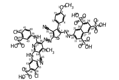 COc1ccc(-c2c(N=Nc3cc(S(=O)(=O)O)c4cc(S(=O)(=O)O)cc(S(=O)(=O)O)c4c3)sc(N=Nc3c(Nc4ccc(Cl)c(S(=O)(=O)O)c4)nc(Nc4ccc(Cl)c(S(=O)(=O)O)c4)c(C#N)c3C)c2C#N)cc1